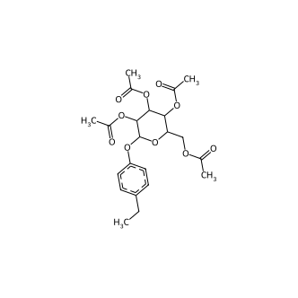 CCc1ccc(OC2OC(COC(C)=O)C(OC(C)=O)C(OC(C)=O)C2OC(C)=O)cc1